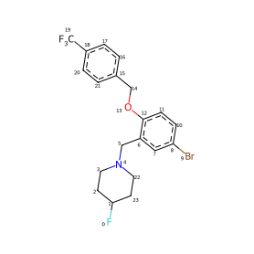 FC1CCN(Cc2cc(Br)ccc2OCc2ccc(C(F)(F)F)cc2)CC1